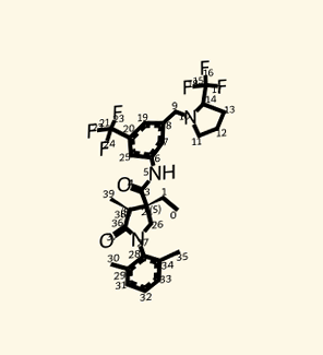 CC[C@@]1(C(=O)Nc2cc(CN3CCCC3C(F)(F)F)cc(C(F)(F)F)c2)CN(c2c(C)cccc2C)C(=O)[C@H]1C